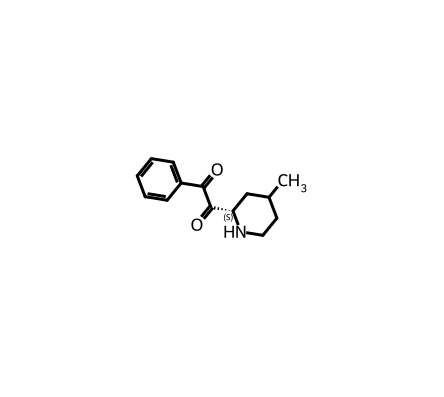 CC1CCN[C@H](C(=O)C(=O)c2ccccc2)C1